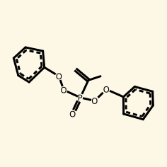 C=C(C)P(=O)(OOc1ccccc1)OOc1ccccc1